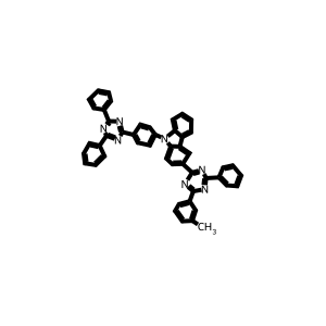 Cc1cccc(-c2nc(-c3ccccc3)nc(-c3ccc4c(c3)c3ccccc3n4-c3ccc(-c4nc(-c5ccccc5)nc(-c5ccccc5)n4)cc3)n2)c1